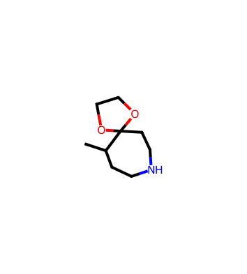 CC1CCNCCC12OCCO2